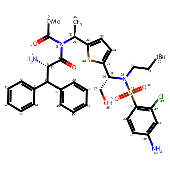 COC(=O)N(C(=O)[C@@H](N)C(c1ccccc1)c1ccccc1)[C@H](c1ccc([C@@H](CO)N(CCC(C)(C)C)S(=O)(=O)c2ccc(N)cc2Cl)s1)C(F)(F)F